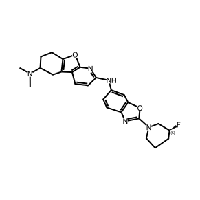 CN(C)C1CCc2oc3nc(Nc4ccc5nc(N6CCC[C@H](F)C6)oc5c4)ccc3c2C1